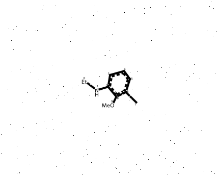 CCNc1cccc(C)c1OC